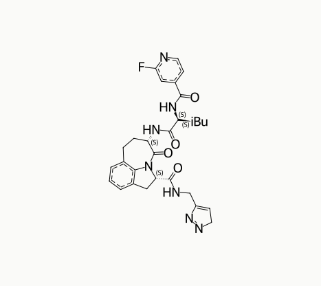 CC[C@H](C)[C@H](NC(=O)c1ccnc(F)c1)C(=O)N[C@H]1CCc2cccc3c2N(C1=O)[C@H](C(=O)NCC1=CCN=N1)C3